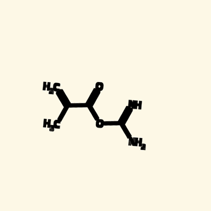 C=C(C)C(=O)OC(=N)N